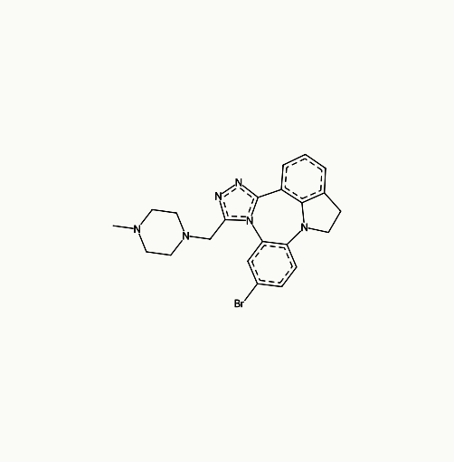 CN1CCN(Cc2nnc3n2-c2cc(Br)ccc2N2CCc4cccc-3c42)CC1